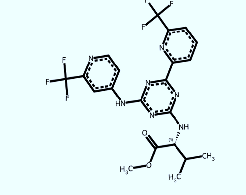 COC(=O)[C@H](Nc1nc(Nc2ccnc(C(F)(F)F)c2)nc(-c2cccc(C(F)(F)F)n2)n1)C(C)C